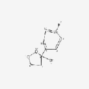 Fc1ccc(C2(Br)CCOO2)cc1